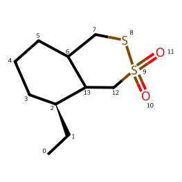 CC[C@H]1CCCC2CSS(=O)(=O)CC21